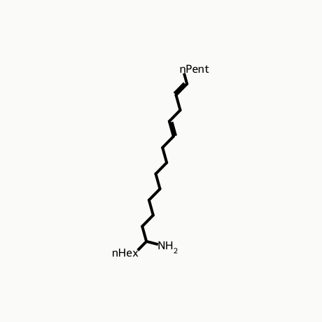 CCCCCC=CCC=CCCCCCCCC(N)CCCCCC